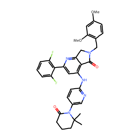 COc1ccc(CN2Cc3nc(-c4c(F)cccc4F)cc(Nc4ccc(N5C(=O)CCCC5(C)C)cn4)c3C2=O)c(OC)c1